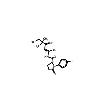 CC(C)(CO)C(=N)/C=C(\O)NC(=O)[C@@H]1CCC(=O)N1c1ccc(Cl)cc1